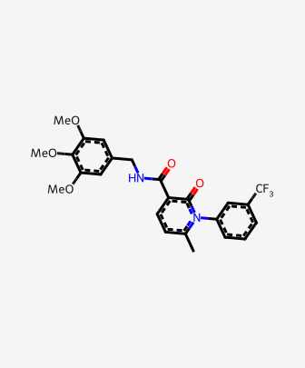 COc1cc(CNC(=O)c2ccc(C)n(-c3cccc(C(F)(F)F)c3)c2=O)cc(OC)c1OC